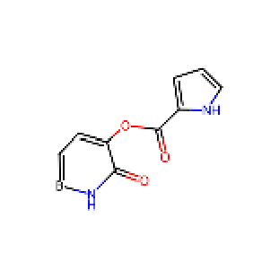 O=C(Oc1ccb[nH]c1=O)c1ccc[nH]1